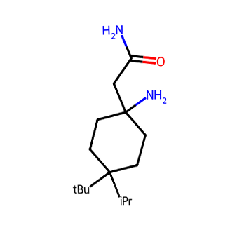 CC(C)C1(C(C)(C)C)CCC(N)(CC(N)=O)CC1